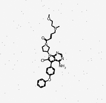 COCCN(C)CC=CC(=O)N1CCC(n2c(Cl)c(-c3ccc(Oc4ccccc4)cc3)c3c(N)ncnc32)C1